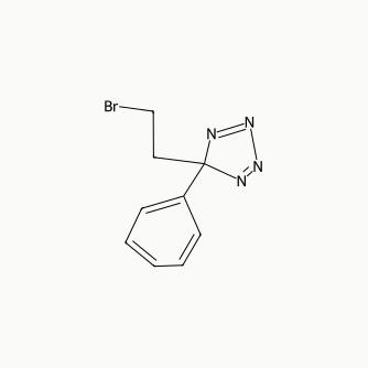 BrCCC1(c2ccccc2)N=NN=N1